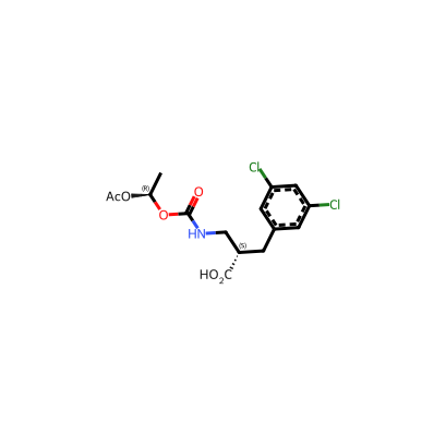 CC(=O)O[C@@H](C)OC(=O)NC[C@H](Cc1cc(Cl)cc(Cl)c1)C(=O)O